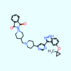 CC1(Oc2ccc3[nH]nc(-c4cc(C5CCN(CC6CCN(N7C(=O)c8ccccc8C7=O)CC6)CC5)ncn4)c3c2)CC1